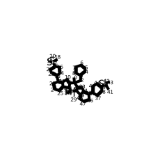 CC1(Cc2ccccc2)C2=Cc3c(-c4ccc([Si](C)(C)C)cc4)cccc3[CH]2[Hf]([CH3])([CH3])[CH]2C1=Cc1c(-c3ccc([Si](C)(C)C)cc3)cccc12